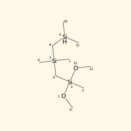 CO[Si](C)(C[Si](C)(C)C[SiH](C)C)OC